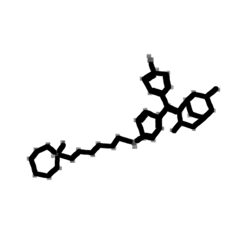 CC1CC2CC(C)/C(=C(/c3ccc(Cl)cc3)c3ccc(OCCCCCC[N+]4(C)CCCCCC4)cc3)C(C1)C2